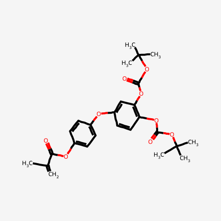 C=C(C)C(=O)Oc1ccc(Oc2ccc(OC(=O)OC(C)(C)C)c(OC(=O)OC(C)(C)C)c2)cc1